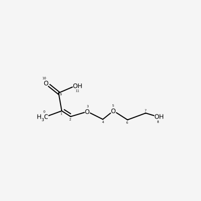 CC(=COCOCCO)C(=O)O